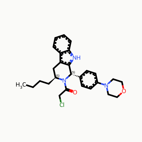 CCCC[C@H]1Cc2c([nH]c3ccccc23)[C@H](c2ccc(N3CCOCC3)cc2)N1C(=O)CCl